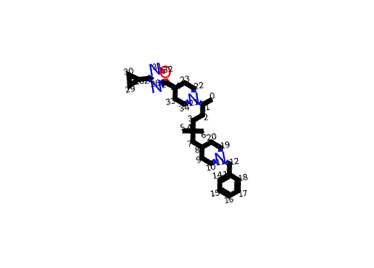 CC(CCC(C)(C)CC1CCN(Cc2ccccc2)CC1)N1CCC(c2nc(C3CC3)no2)CC1